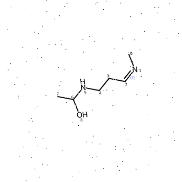 C/N=C\CCNC(C)O